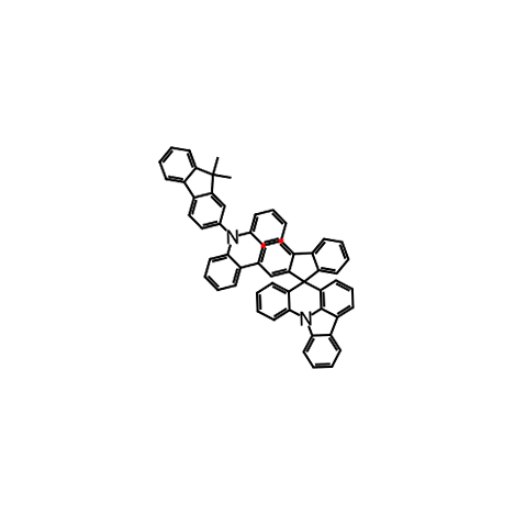 CC1(C)c2ccccc2-c2ccc(N(c3ccccc3)c3ccccc3-c3ccc4c(c3)C3(c5ccccc5-4)c4ccccc4-n4c5ccccc5c5cccc3c54)cc21